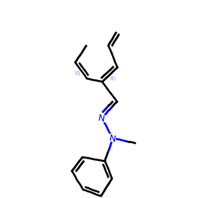 C=C/C=C(C=NN(C)c1ccccc1)\C=C/C